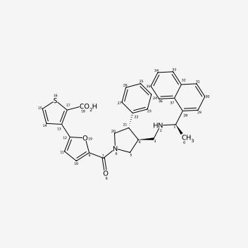 C[C@@H](NC[C@H]1CN(C(=O)c2ccc(-c3ccsc3C(=O)O)o2)C[C@@H]1c1ccccc1)c1cccc2ccccc12